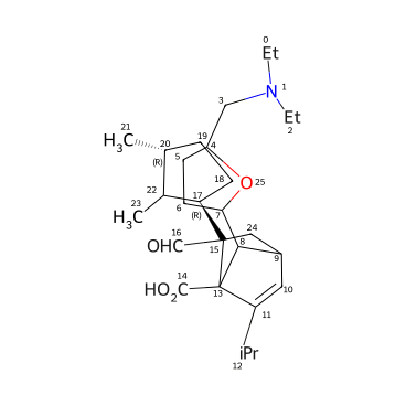 CCN(CC)CC1CCC(C2C3C=C(C(C)C)C2(C(=O)O)C(C=O)([C@@H]2CC[C@@H](C)C2C)C3)O1